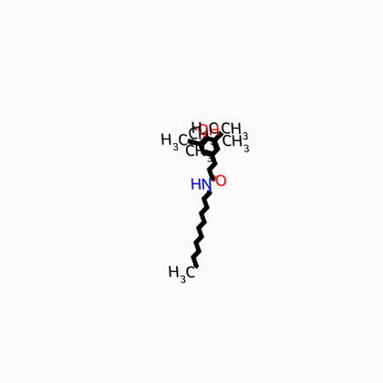 CCCCCCCCCCCCNC(=O)CCc1cc(C(C)(C)C)c(O)c(C(C)(C)C)c1